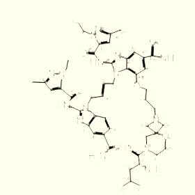 CCn1nc(C)cc1C(=O)Nc1nc2cc(C(N)=O)ccc2n1C/C=C/Cn1c(NC(=O)c2cc(C)nn2CC)nc2cc(C(N)=O)cc(OCCCN3CC4(C3)CN(C(=O)[C@@H](N)CC(C)C)CCO4)c21